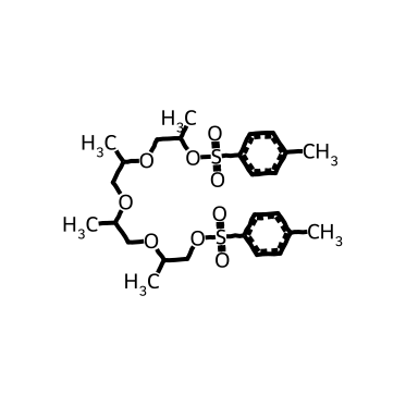 Cc1ccc(S(=O)(=O)OCC(C)OCC(C)OCC(C)OCC(C)OS(=O)(=O)c2ccc(C)cc2)cc1